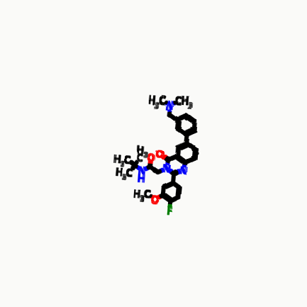 COc1cc(-c2nc3ccc(-c4cccc(CN(C)C)c4)cc3c(=O)n2CC(=O)NC(C)(C)C)ccc1F